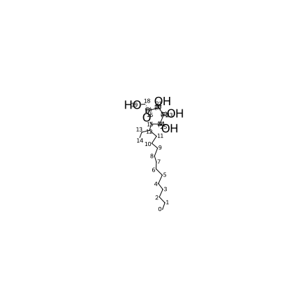 CCCCCCCCCCCCC(CC)C1O[C@H](CO)[C@@H](O)[C@H](O)[C@H]1O